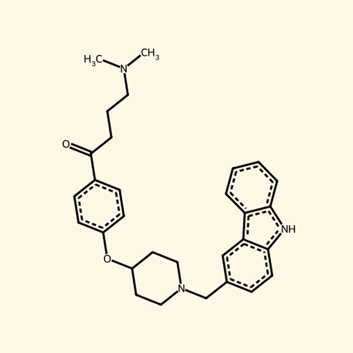 CN(C)CCCC(=O)c1ccc(OC2CCN(Cc3ccc4[nH]c5ccccc5c4c3)CC2)cc1